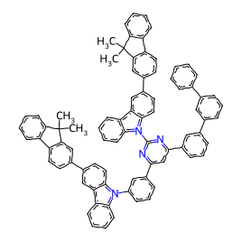 CC1(C)c2ccccc2-c2ccc(-c3ccc4c(c3)c3ccccc3n4-c3cccc(-c4cc(-c5cccc(-c6cccc(-c7ccccc7)c6)c5)nc(-n5c6ccccc6c6cc(-c7ccc8c(c7)C(C)(C)c7ccccc7-8)ccc65)n4)c3)cc21